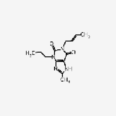 CC=CCn1c(=O)c2[nH]c(C)nc2n(CCC)c1=O